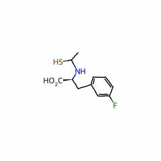 CC(S)N[C@@H](Cc1cccc(F)c1)C(=O)O